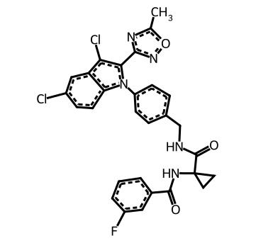 Cc1nc(-c2c(Cl)c3cc(Cl)ccc3n2-c2ccc(CNC(=O)C3(NC(=O)c4cccc(F)c4)CC3)cc2)no1